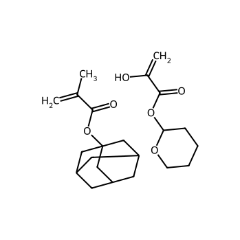 C=C(C)C(=O)OC12CC3CC(CC(C3)C1)C2.C=C(O)C(=O)OC1CCCCO1